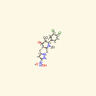 CCn1c(Cn2nc([NH+]([O-])O)cc2C)cc(=O)c(C(=O)O)c1-c1ccc(Cl)c(Cl)c1